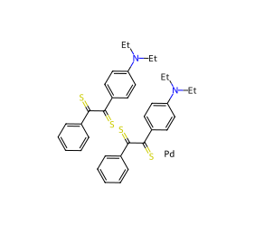 CCN(CC)c1ccc(C(=S)C(=S)c2ccccc2)cc1.CCN(CC)c1ccc(C(=S)C(=S)c2ccccc2)cc1.[Pd]